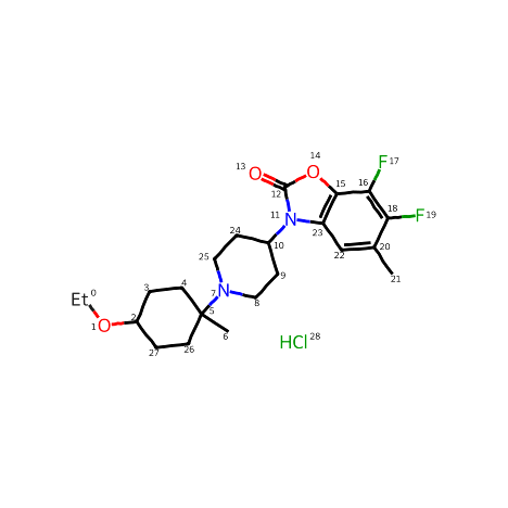 CCOC1CCC(C)(N2CCC(n3c(=O)oc4c(F)c(F)c(C)cc43)CC2)CC1.Cl